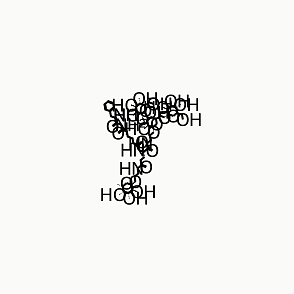 C[C@@H]1O[C@@H](OCCNC(=O)CC[C@H](NC(=O)CCCCC(=O)NC(=O)[C@@H](N)Cc2ccccc2)C(=O)NCCO[C@H]2O[C@H](CO[C@H]3O[C@H](CO)[C@@H](O)[C@H](O)[C@@H]3O)[C@@H](O)[C@H](O[C@H]3O[C@H](CO)[C@@H](O)[C@H](O)[C@@H]3O)[C@@H]2O)[C@@H](O)[C@H](O)[C@@H]1O